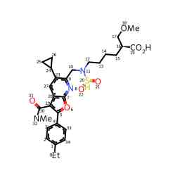 CCc1ccc(-c2oc3nc(CN(CCCC[C@@H](COC)C(=O)O)[SH](=O)=O)c(C4CC4)cc3c2C(=O)NC)cc1